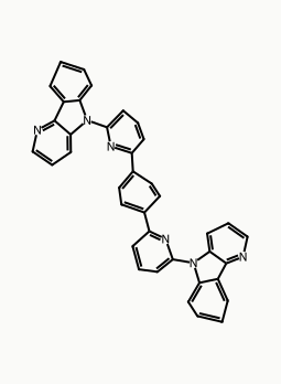 c1cc(-c2ccc(-c3cccc(-n4c5ccccc5c5ncccc54)n3)cc2)nc(-n2c3ccccc3c3ncccc32)c1